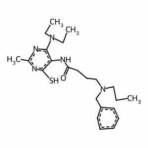 CCCN(CCCC(=O)Nc1c(S)nc(C)nc1N(CC)CC)Cc1ccccc1